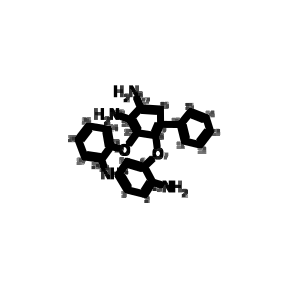 Nc1ccccc1Oc1c(-c2ccccc2)cc(N)c(N)c1Oc1ccccc1N